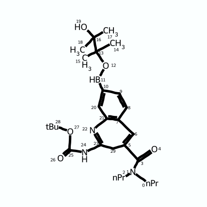 CCCN(CCC)C(=O)C1=Cc2ccc(BOC(C)(C)C(C)(C)O)cc2N=C(NC(=O)OC(C)(C)C)C1